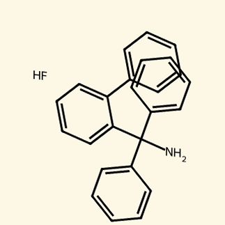 F.NC(c1ccccc1)(c1ccccc1)c1ccccc1-c1ccccc1